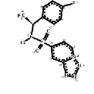 CCN([C@H](c1ccc(F)cc1)C(F)(F)F)S(=O)(=O)c1ccn2nnnc2c1